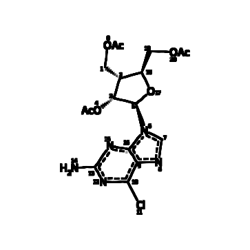 CC(=O)OC[C@H]1[C@@H](OC(C)=O)[C@H](n2cnc3c(Cl)nc(N)nc32)O[C@@H]1COC(C)=O